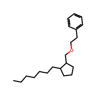 CCCCCCCC1CCCC1COCCc1ccccc1